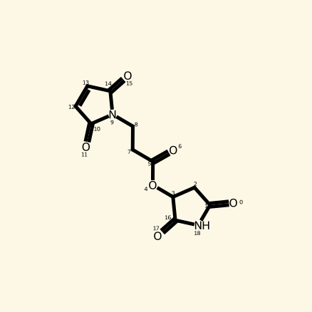 O=C1CC(OC(=O)CCN2C(=O)C=CC2=O)C(=O)N1